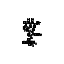 CO[C@H]1C(=O)[C@H](n2cnc3c(=O)[nH]c(NC(=O)C(C)C)nc32)O[C@@H]1CO[Si](C)(C)C(C)(C)C